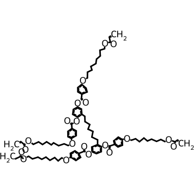 C=CC(=O)OCCCCCCCCCOc1ccc(C(=O)Oc2ccc(OC(=O)c3ccc(OCCCCCCCCCOC(=O)C=C)cc3)c(CCCCCCCc3cc(OC(=O)c4ccc(OCCCCCCCCCOC(=O)C=C)cc4)ccc3OC(=O)c3ccc(OCCCCCCCCCOC(=O)C=C)cc3)c2)cc1